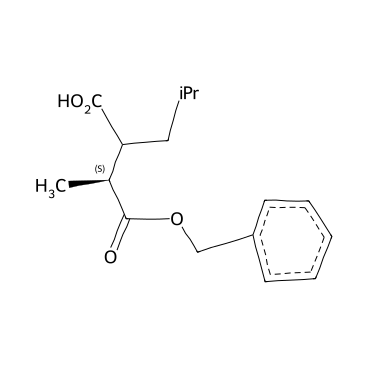 CC(C)CC(C(=O)O)[C@H](C)C(=O)OCc1ccccc1